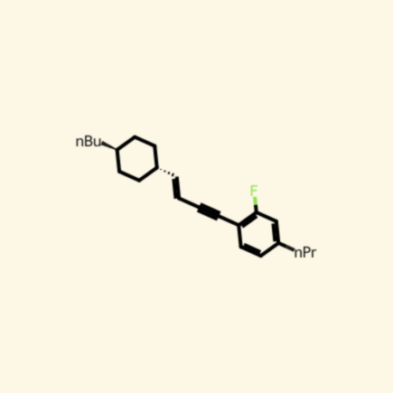 CCCC[C@H]1CC[C@H](C=CC#Cc2ccc(CCC)cc2F)CC1